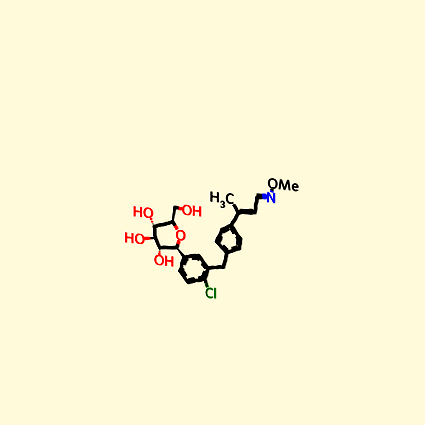 CON=C/C=C(\C)c1ccc(Cc2cc([C@@H]3O[C@H](CO)[C@@H](O)[C@H](O)[C@H]3O)ccc2Cl)cc1